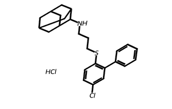 Cl.Clc1ccc(SCCCNC2C3CC4CC(C3)CC2C4)c(-c2ccccc2)c1